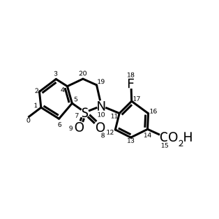 Cc1ccc2c(c1)S(=O)(=O)N(c1ccc(C(=O)O)cc1F)CC2